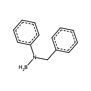 BN(Cc1ccccc1)c1ccccc1